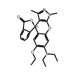 CCOc1cc2c(cc1N(CC)CC)Oc1c(c(C)nn1C)[C@]21OC(=O)c2ccccc21